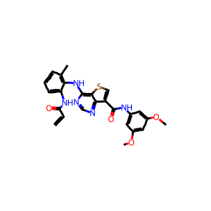 C=CC(=O)Nc1cccc(C)c1Nc1ncnc2c(C(=O)Nc3cc(OC)cc(OC)c3)csc12